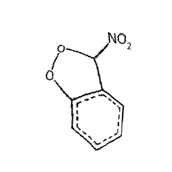 O=[N+]([O-])C1OOc2ccccc21